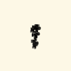 CC(C)(C)OC(=O)NCCONC(=O)[C@@H]1CC2(CC2)[C@@H]2CN1C(=O)N2O